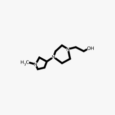 CN1CCC(N2CCN(CCO)CC2)C1